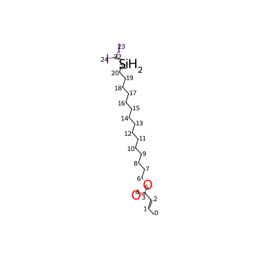 CC=CC(=O)OCCCCCCCCCCCCCCC[SiH2]C(I)I